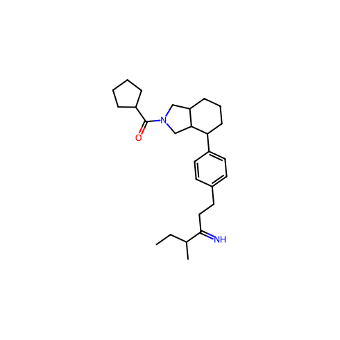 CCC(C)C(=N)CCc1ccc(C2CCCC3CN(C(=O)C4CCCC4)CC32)cc1